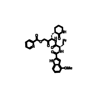 COc1cccc2[nH]c(C(=O)N[C@@H](CC(C)C)C(=O)N[C@@H](C[C@@H]3CCCNC3=O)C(=O)COC(=O)c3ccccn3)cc12